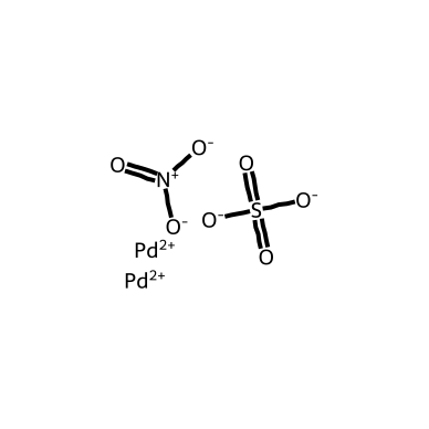 O=S(=O)([O-])[O-].O=[N+]([O-])[O-].[Pd+2].[Pd+2]